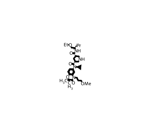 CCOC[C@H](NC(=O)[C@@H]1CNC[C@H](C(=O)N(c2ccc3c(c2)N(CCCOC)C(=O)C(C)(C)O3)C2CC2)C1)C(C)C